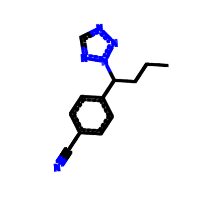 CCCC(c1ccc(C#N)cc1)n1ncnn1